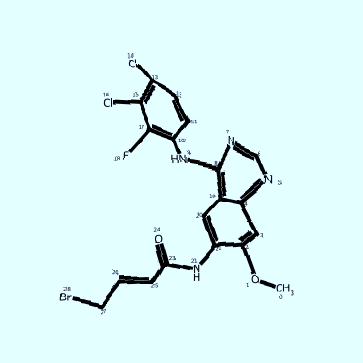 COc1cc2ncnc(Nc3ccc(Cl)c(Cl)c3F)c2cc1NC(=O)C=CCBr